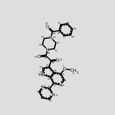 COc1cnc(-c2ncccn2)c2[nH]cc(C(=O)C(=O)N3CCN(C(=O)c4ccccc4)CC3)c12